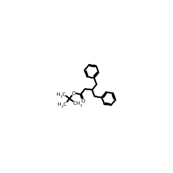 CC(C)(C)OC(=O)CC(Cc1ccccc1)Cc1ccccc1